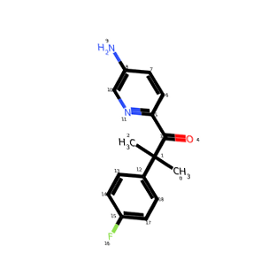 CC(C)(C(=O)c1ccc(N)cn1)c1ccc(F)cc1